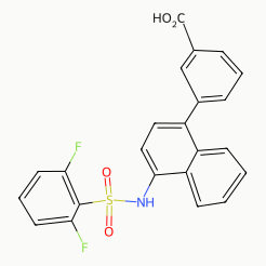 O=C(O)c1cccc(-c2ccc(NS(=O)(=O)c3c(F)cccc3F)c3ccccc23)c1